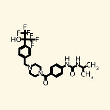 CC(C)NC(=O)Nc1ccc(C(=O)N2CCN(Cc3ccc(C(O)(C(F)(F)F)C(F)(F)F)cc3)CC2)cc1